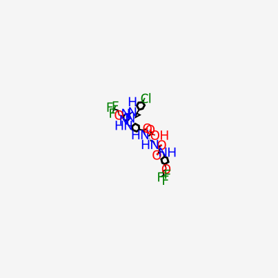 O=C(NCC[C@H](NC(=O)c1ccc(Nc2nc(NC3(c4ccc(Cl)cc4)CC3)nc(OCC(F)(F)F)n2)cc1)C(=O)O)C(=O)Nc1ccc(OCC(F)(F)F)cc1